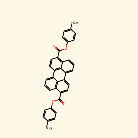 CCCCCCCCc1ccc(OC(=O)c2ccc3c4cccc5c(C(=O)Oc6ccc(CCCCCCCC)cc6)ccc(c6cccc2c63)c54)cc1